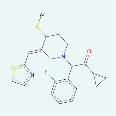 CC(=O)SC1CCN(C(C(=O)C2CC2)c2ccccc2F)C/C1=C\c1nccs1